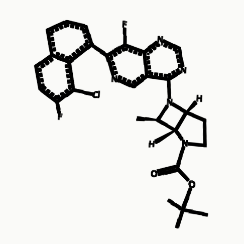 C[C@@H]1[C@@H]2[C@@H](CCN2C(=O)OC(C)(C)C)N1c1ncnc2c(F)c(-c3cccc4ccc(F)c(Cl)c34)ncc12